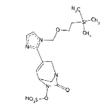 C[Si](C)(C)CCOCn1ccnc1C1=CC2CN(C1)C(=O)N2OS(=O)(=O)O